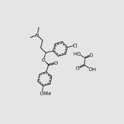 COc1ccc(C(=O)OC(CCN(C)C)c2ccc(Cl)cc2)cc1.O=C(O)C(=O)O